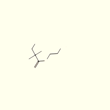 C=C(OCCCCCCC)C(C)(C)CO